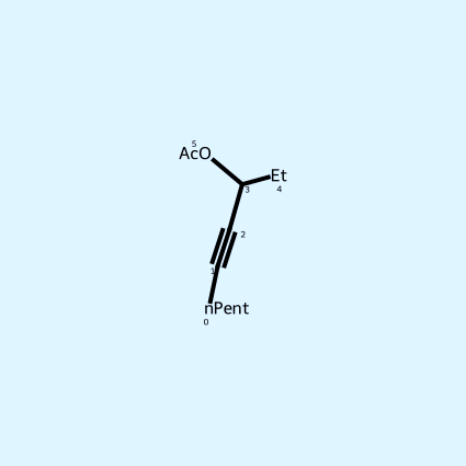 CCCCCC#CC(CC)OC(C)=O